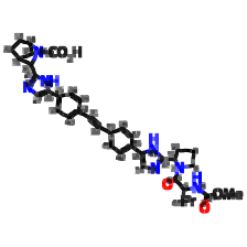 COC(=O)NC(C(=O)N1CCCC1c1ncc(-c2ccc(C#Cc3ccc(-c4cnc(C5C6CCC(C6)N5C(=O)O)[nH]4)cc3)cc2)[nH]1)C(C)C